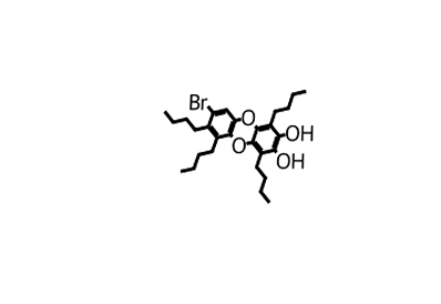 CCCCc1c(Br)cc2c(c1CCCC)Oc1c(CCCC)c(O)c(O)c(CCCC)c1O2